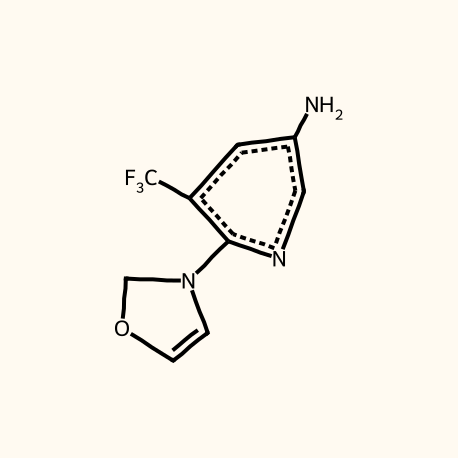 Nc1cnc(N2C=COC2)c(C(F)(F)F)c1